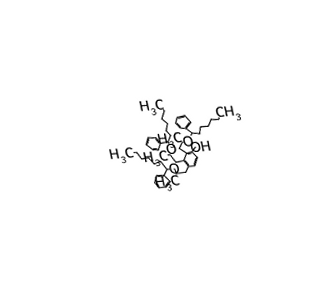 CCCCCCC(OC(C)Cc1ccc(O)c(CC(C)OC(CCCCCC)c2ccccc2)c1CC(C)OC(CCCCCC)c1ccccc1)c1ccccc1